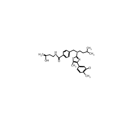 C=C(O)CCNC(=O)c1ccc(CN(CCC(C)C)c2nc(-c3ccc(C)c(Cl)c3)c(C)s2)cc1